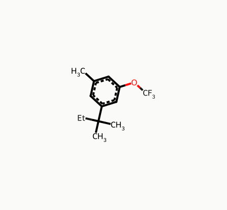 CCC(C)(C)c1cc(C)cc(OC(F)(F)F)c1